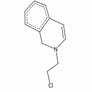 ClCCN1C=Cc2ccccc2C1